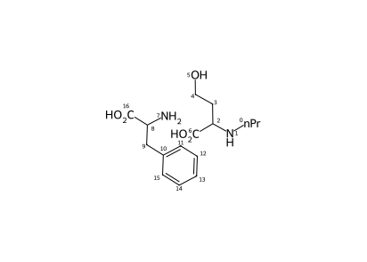 CCCNC(CCO)C(=O)O.NC(Cc1ccccc1)C(=O)O